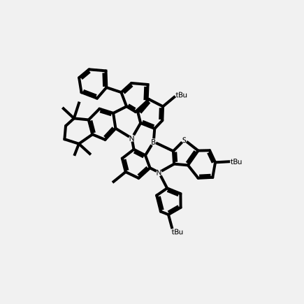 Cc1cc2c3c(c1)N(c1ccc(C(C)(C)C)cc1)c1c(sc4cc(C(C)(C)C)ccc14)B3c1cc(C(C)(C)C)ccc1N2c1cc2c(cc1-c1ccccc1-c1ccccc1)C(C)(C)CCC2(C)C